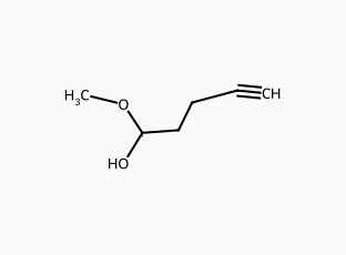 C#CCC[C](O)OC